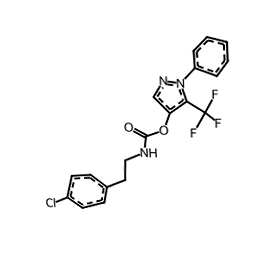 O=C(NCCc1ccc(Cl)cc1)Oc1cnn(-c2ccccc2)c1C(F)(F)F